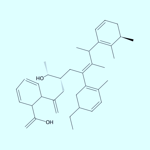 C=CC(C(=C)C[C@@H](C/C(C1=C(C)C=CC(CC)C1)=C(/C)C(C)C1=C(C)[C@H](C)CC=C1)[C@@H](C)O)C(/C=C\C)C(=C)O